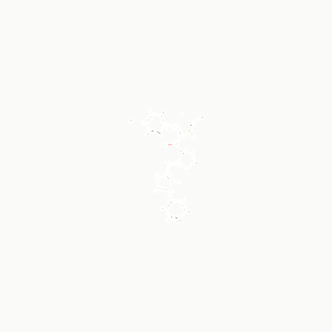 Cc1nc(C(=O)N2CCCC2Cc2nc(-c3ccccc3)co2)c(-c2ccc(F)cc2)s1